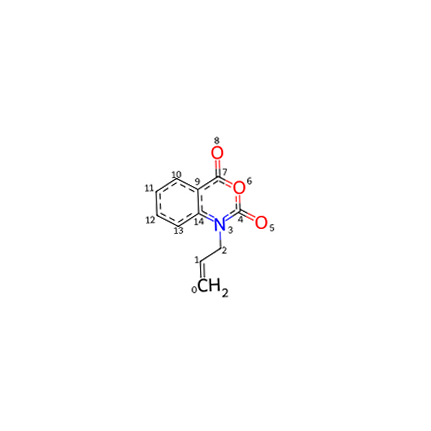 C=CCn1c(=O)oc(=O)c2ccccc21